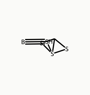 B#[SH]1C23SS12S3